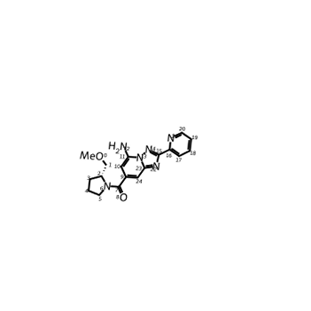 COC[C@H]1CCCN1C(=O)c1cc(N)n2nc(-c3ccccn3)nc2c1